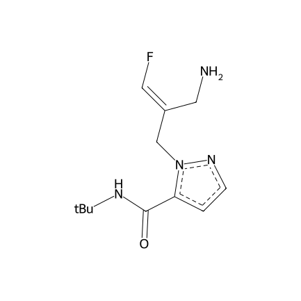 CC(C)(C)NC(=O)c1ccnn1C/C(=C/F)CN